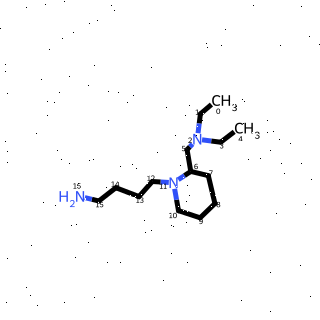 CCN(CC)CC1CCCCN1CCCCN